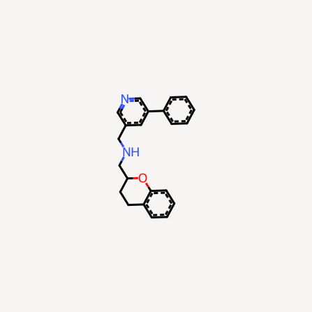 c1ccc(-c2cncc(CNCC3CCc4ccccc4O3)c2)cc1